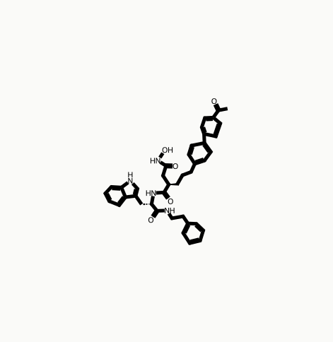 CC(=O)c1ccc(-c2ccc(CCC[C@H](CC(=O)NO)C(=O)N[C@@H](Cc3c[nH]c4ccccc34)C(=O)NCCc3ccccc3)cc2)cc1